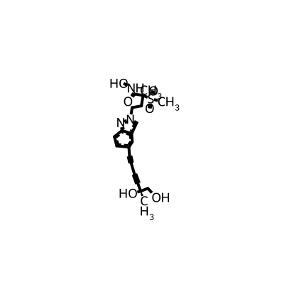 C[C@@](O)(C#CC#Cc1ccc2nn(CC[C@](C)(C(=O)NO)S(C)(=O)=O)cc2c1)CO